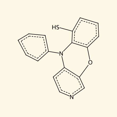 Sc1cccc2c1N(c1ccccc1)c1ccncc1O2